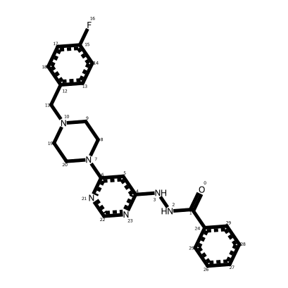 O=C(NNc1cc(N2CCN(Cc3ccc(F)cc3)CC2)ncn1)c1ccccc1